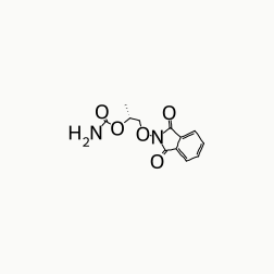 C[C@H](CON1C(=O)c2ccccc2C1=O)OC(N)=O